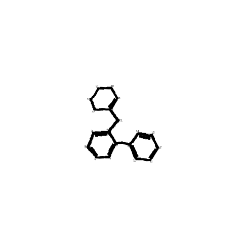 C1=C(Cc2ccccc2-c2ccccc2)CCCC1